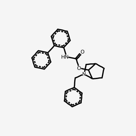 O=C(Nc1ccccc1-c1ccccc1)OC1C2CCC1N(Cc1ccccc1)C2